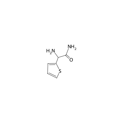 NC(=O)C(N)c1cccs1